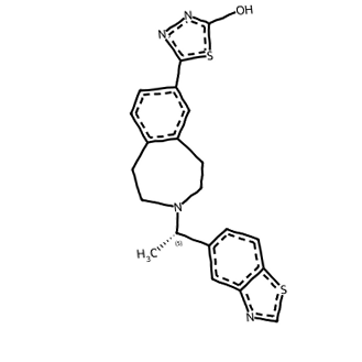 C[C@@H](c1ccc2scnc2c1)N1CCc2ccc(-c3nnc(O)s3)cc2CC1